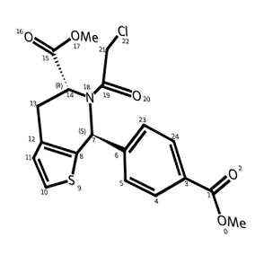 COC(=O)c1ccc([C@H]2c3sccc3C[C@H](C(=O)OC)N2C(=O)CCl)cc1